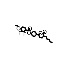 CCCCCC1CCC(C2CCC(OC(=O)c3ccc(OCC)c(F)c3F)CC2)OC1=O